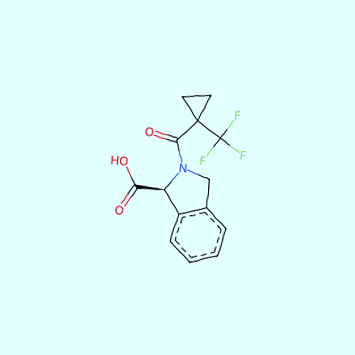 O=C(O)[C@@H]1c2ccccc2CN1C(=O)C1(C(F)(F)F)CC1